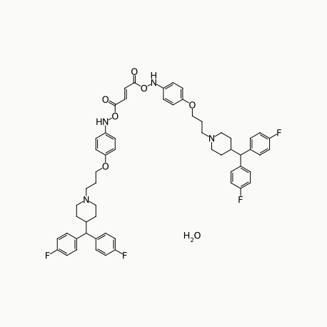 O.O=C(/C=C/C(=O)ONc1ccc(OCCCN2CCC(C(c3ccc(F)cc3)c3ccc(F)cc3)CC2)cc1)ONc1ccc(OCCCN2CCC(C(c3ccc(F)cc3)c3ccc(F)cc3)CC2)cc1